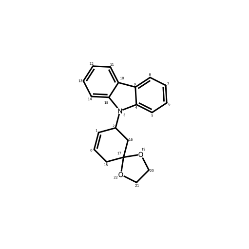 C1=CC(n2c3ccccc3c3ccccc32)CC2(C1)OCCO2